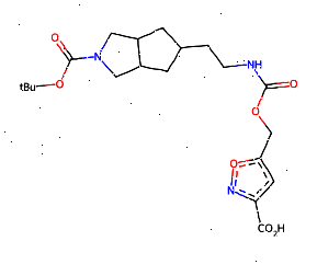 CC(C)(C)OC(=O)N1CC2CC(CCNC(=O)OCc3cc(C(=O)O)no3)CC2C1